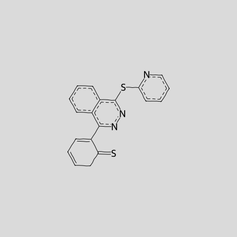 S=C1CC=CC=C1c1nnc(Sc2ccccn2)c2ccccc12